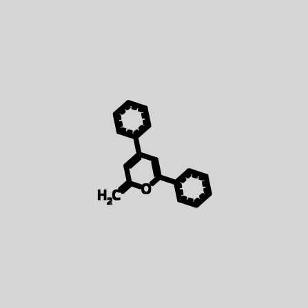 C=C1C=C(c2ccccc2)C=C(c2ccccc2)O1